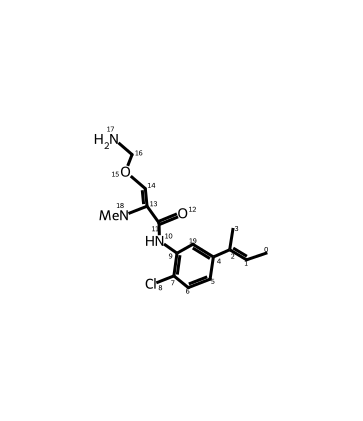 C/C=C(\C)c1ccc(Cl)c(NC(=O)/C(=C/OCN)NC)c1